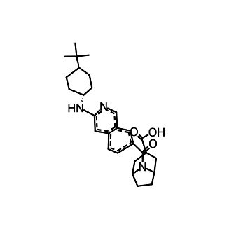 CC(C)(C)[C@H]1CC[C@H](Nc2cc3ccc(C(=O)N4C5CCC4CC(C(=O)O)C5)cc3cn2)CC1